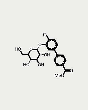 COC(=O)c1ccc(-c2ccc(Cl)c(O[C@H]3OC(CO)[C@@H](O)C(O)[C@H]3O)c2)cc1